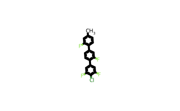 Cc1ccc(-c2ccc(-c3cc(F)c(Cl)c(F)c3)c(F)c2)c(F)c1